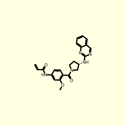 C=CC(=O)Nc1ccc(C(=O)N2CC[C@H](Nc3ncc4ccccc4n3)C2)c(OC)c1